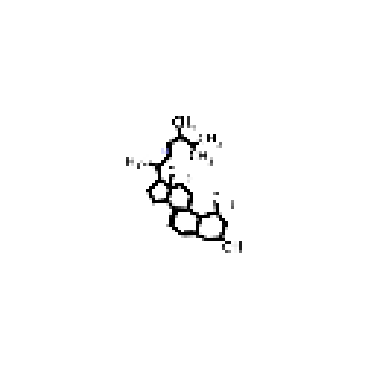 CC(C)C(C)/C=C/C(C)C1CCC2C3=CC=C4CC(O)CC(C)C4C3CCC21C